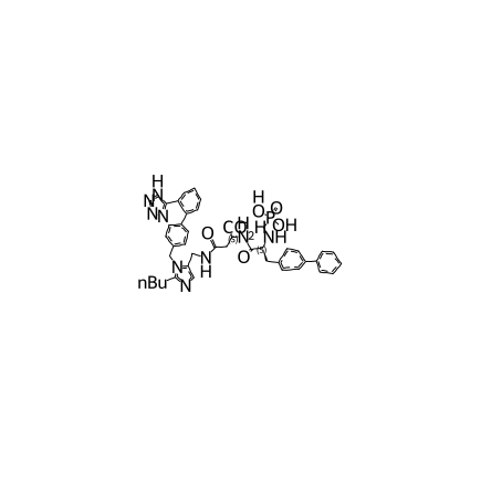 CCCCc1ncc(CNC(=O)C[C@H](NC(=O)[C@H](Cc2ccc(-c3ccccc3)cc2)NCP(=O)(O)O)C(=O)O)n1Cc1ccc(-c2ccccc2-c2nnn[nH]2)cc1